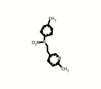 Cc1ccc(N(CCc2ccc(C)nc2)[N+](=O)[O-])cc1